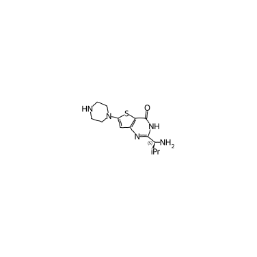 CC(C)[C@H](N)c1nc2cc(N3CCNCC3)sc2c(=O)[nH]1